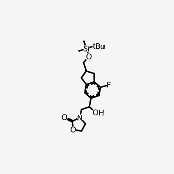 CC(C)(C)[Si](C)(C)OCC1Cc2cc(C(O)CN3CCOC3=O)cc(F)c2C1